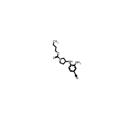 CCCCOC(=O)N1CCC(Nc2ccc(C#N)cc2N)C1